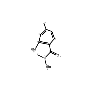 Cc1ccc(C(=O)N(C)C(C)(C)C)c(C(C)(C)C)c1